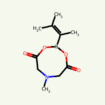 CC(C)=C(C)B1OC(=O)CN(C)CC(=O)O1